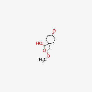 COCCC1(C(=O)O)CCC(=O)CC1